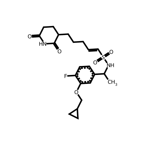 CC(NS(=O)(=O)/C=C/CCCC1CCC(=O)NC1=O)c1ccc(F)c(OCC2CC2)c1